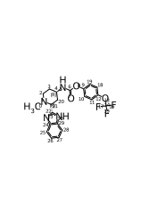 CN1CC[C@@H](NC(=O)Oc2ccc(OC(F)(F)F)cc2)C[C@@H]1c1nc2ccccc2[nH]1